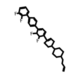 C=CCCC1CCC(C2CC=C(C3=CC=C(c4ccc(-c5cccc(F)c5F)cc4)C(F)C3F)CC2)CC1